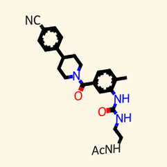 CC(=O)NCCNC(=O)Nc1cc(C(=O)N2CCC(c3ccc(C#N)cc3)CC2)ccc1C